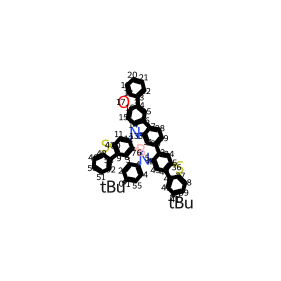 CC(C)(C)c1ccc(N2B3c4cc5c(cc4-n4c6cc7oc8ccccc8c7cc6c6ccc(c3c64)-c3cc4sc6ccc(C(C)(C)C)cc6c4cc32)sc2ccccc25)cc1